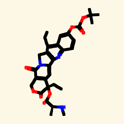 CCc1c2c(nc3ccc(OC(=O)OC(C)(C)C)cc13)-c1cc3c(c(=O)n1C2)COC(=O)[C@@]3(CC)OC(=O)[C@H](C)NC